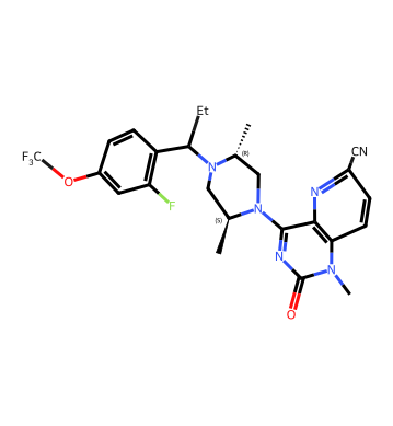 CCC(c1ccc(OC(F)(F)F)cc1F)N1C[C@H](C)N(c2nc(=O)n(C)c3ccc(C#N)nc23)C[C@H]1C